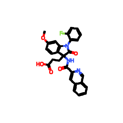 COc1ccc2c(c1)N(c1ccccc1F)C(=O)C2(CCC(=O)O)NC(=O)c1cc2ccccc2cn1